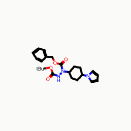 CC(C)(C)OC(=O)NN(C(=O)OCc1ccccc1)C1CCC(n2cccc2)CC1